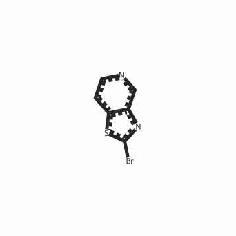 Brc1nc2cnccc2s1